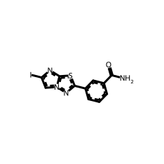 NC(=O)c1cccc(-c2nn3cc(I)nc3s2)c1